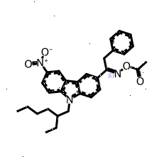 CCCCC(CC)Cn1c2ccc(/C(Cc3ccccc3)=N/OC(C)=O)cc2c2cc([N+](=O)[O-])ccc21